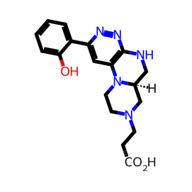 O=C(O)CCN1CCN2c3cc(-c4ccccc4O)nnc3NC[C@H]2C1